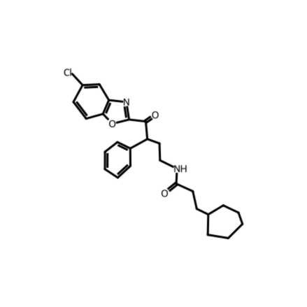 O=C(CCC1CCCCC1)NCCC(C(=O)c1nc2cc(Cl)ccc2o1)c1ccccc1